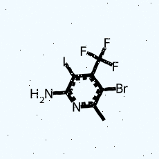 Cc1nc(N)c(I)c(C(F)(F)F)c1Br